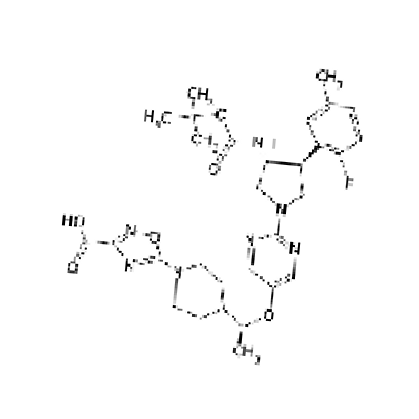 Cc1ccc(F)c([C@H]2CN(c3ncc(O[C@@H](C)C4CCN(c5nc(C(=O)O)no5)CC4)cn3)C[C@@H]2NC(=O)OC(C)(C)C)c1